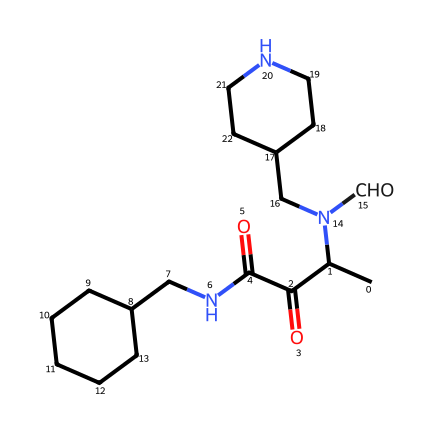 CC(C(=O)C(=O)NCC1CCCCC1)N(C=O)CC1CCNCC1